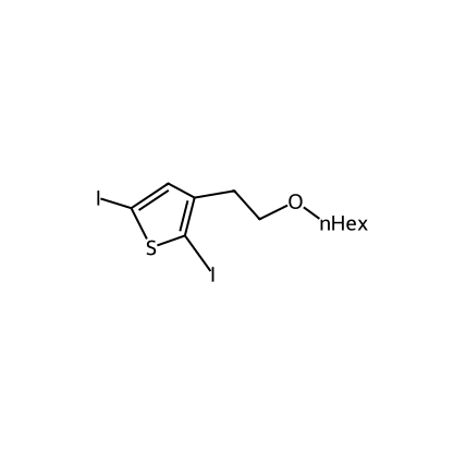 CCCCCCOCCc1cc(I)sc1I